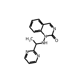 CC(Nn1c(=O)ncc2ccccc21)c1ncccn1